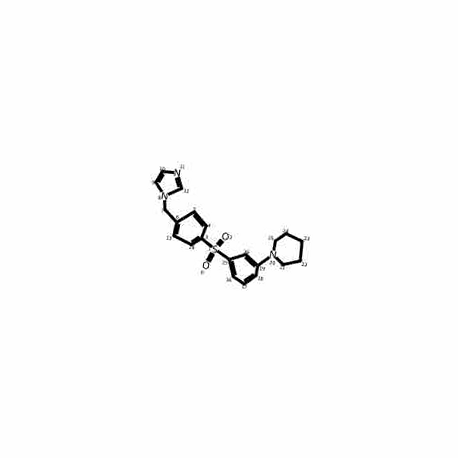 O=S(=O)(c1ccc(Cn2ccnc2)cc1)c1cccc(N2CCCCC2)c1